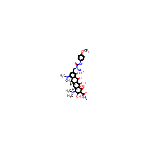 CN(C)c1cc(CN(N)C(=O)Nc2ccc(OC(F)(F)F)cc2)c(O)c2c1C[C@H]1C[C@H]3C(N(C)C)C(O)=C(C(N)=O)C(=O)[C@@]3(O)C(O)=C1C2=O